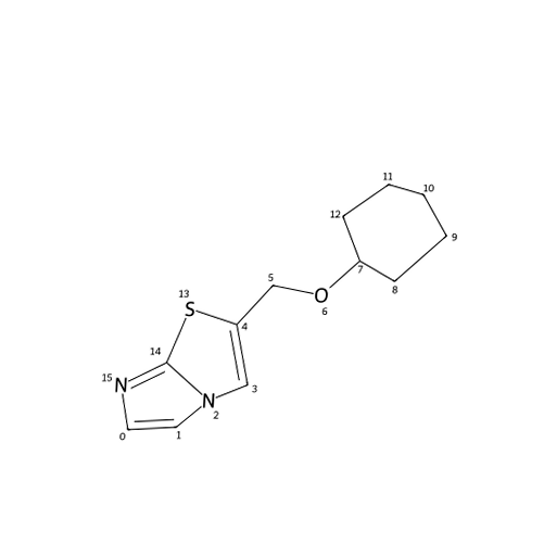 c1cn2cc(COC3CCCCC3)sc2n1